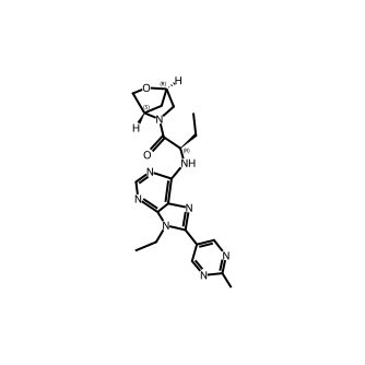 CC[C@@H](Nc1ncnc2c1nc(-c1cnc(C)nc1)n2CC)C(=O)N1C[C@H]2C[C@H]1CO2